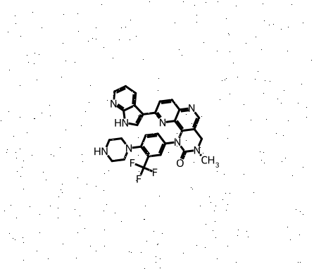 CN1Cc2cnc3ccc(-c4c[nH]c5ncccc45)nc3c2N(c2ccc(N3CCNCC3)c(C(F)(F)F)c2)C1=O